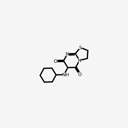 O=C1N=C2SCCN2C(=O)C1NC1CCCCC1